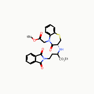 CCOC(=O)C(CCN1C(=O)c2ccccc2C1=O)N[C@H]1CSc2ccccc2N(CC(=O)OC(C)(C)C)C1=O